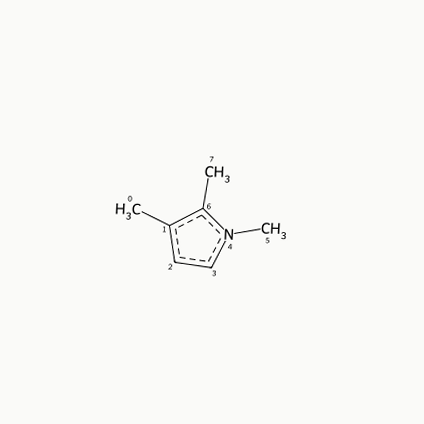 Cc1ccn(C)c1C